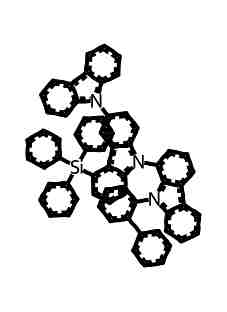 c1ccc(-c2ccccc2-n2c3ccccc3c3cccc(-n4c5ccc(-n6c7ccccc7c7ccccc76)cc5c5c([Si](c6ccccc6)(c6ccccc6)c6ccccc6)cccc54)c32)cc1